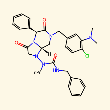 CCCN(C(=O)NCc1ccccc1)N1CC(=O)N2[C@@H](c3ccccc3)C(=O)N(Cc3ccc(Cl)c(N(C)C)c3)C[C@@H]21